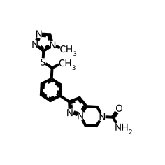 CC(Sc1nncn1C)c1cccc(-c2cc3n(n2)CCN(C(N)=O)C3)c1